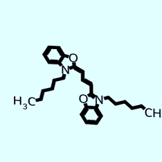 CCCCCCN1C(=CC=Cc2oc3ccccc3[n+]2CCCCCC)Oc2ccccc21